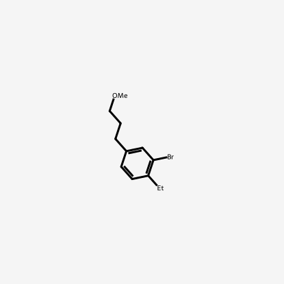 CCc1ccc(CCCOC)cc1Br